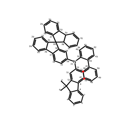 CC1(C)c2ccccc2-c2ccc(N(c3ccc4c(c3)C3(c5ccccc5-4)c4ccccc4C4C=CC=CC43)c3ccccc3-c3ccccc3)cc21